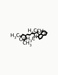 Cc1cc(/C=C/C=C2\N(C)c3ccc4ccccc4c3C2(C)C)cc(C)[o+]1